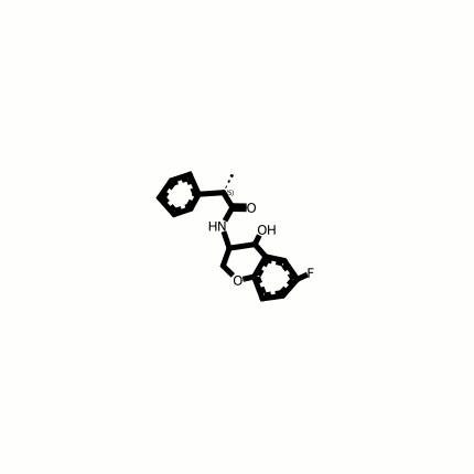 C[C@H](C(=O)NC1COc2ccc(F)cc2C1O)c1ccccc1